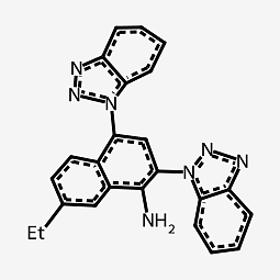 CCc1ccc2c(-n3nnc4ccccc43)cc(-n3nnc4ccccc43)c(N)c2c1